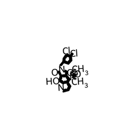 CN(c1c2c(c(O)c3ncccc13)C(=O)N(Cc1ccc(Cl)c(Cl)c1)C2)S(C)(=O)=O